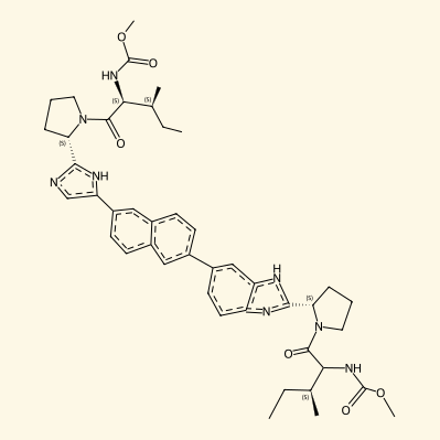 CC[C@H](C)C(NC(=O)OC)C(=O)N1CCC[C@H]1c1nc2ccc(-c3ccc4cc(-c5cnc([C@@H]6CCCN6C(=O)[C@@H](NC(=O)OC)[C@@H](C)CC)[nH]5)ccc4c3)cc2[nH]1